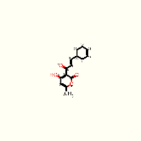 Cc1cc(O)c(C(=O)/C=C/C2CC=CCC2)c(=O)o1